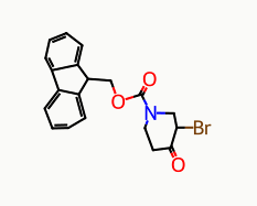 O=C1CCN(C(=O)OCC2c3ccccc3-c3ccccc32)CC1Br